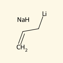 [Li][CH2]C=C.[NaH]